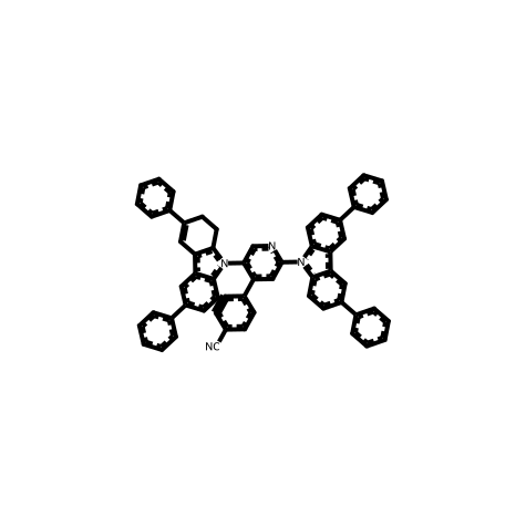 N#Cc1c#cc(-c2cc(-n3c4ccc(-c5ccccc5)cc4c4cc(-c5ccccc5)ccc43)ncc2-n2c3c(c4cc(-c5ccccc5)ccc42)C=C(c2ccccc2)CC3)cc1